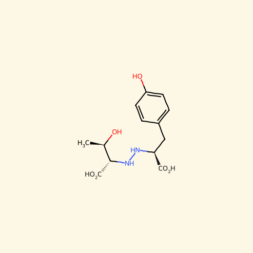 C[C@@H](O)[C@H](NN[C@@H](Cc1ccc(O)cc1)C(=O)O)C(=O)O